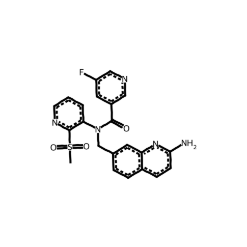 CS(=O)(=O)c1ncccc1N(Cc1ccc2ccc(N)nc2c1)C(=O)c1cncc(F)c1